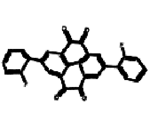 O=c1c(=O)c2cc(-c3ccccc3F)cc3c2-c2c1cc(-c1ccccc1F)cc2c(=O)c3=O